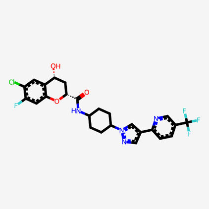 O=C(NC1CCC(n2cc(-c3ccc(C(F)(F)F)cn3)cn2)CC1)[C@H]1C[C@@H](O)c2cc(Cl)c(F)cc2O1